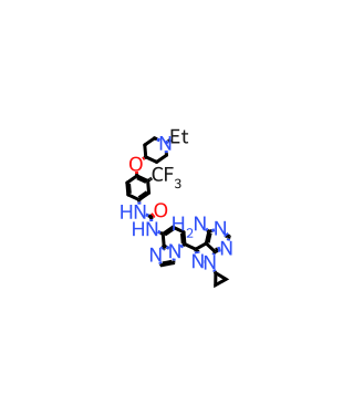 CCN1CCC(Oc2ccc(NC(=O)Nc3ccc(-c4nn(C5CC5)c5ncnc(N)c45)n4ccnc34)cc2C(F)(F)F)CC1